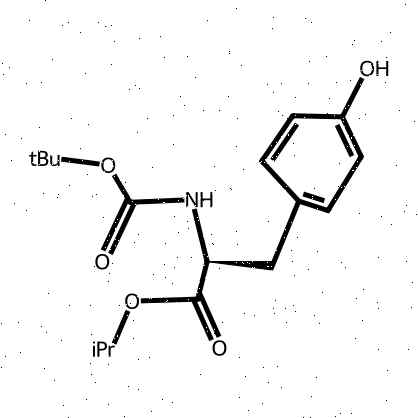 CC(C)OC(=O)[C@H](Cc1ccc(O)cc1)NC(=O)OC(C)(C)C